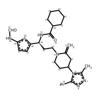 C=C1CC(n2c(C)nnc2C(C)C)CCN1CC[C@H](NC(=O)C1CCCCC1)c1ccc(NC=O)s1